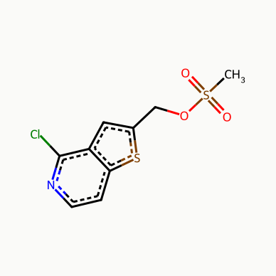 CS(=O)(=O)OCc1cc2c(Cl)nccc2s1